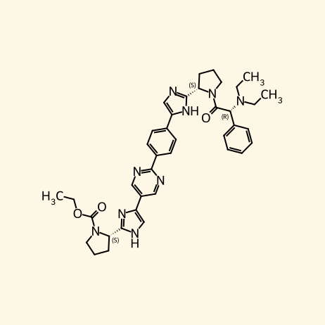 CCOC(=O)N1CCC[C@H]1c1nc(-c2cnc(-c3ccc(-c4cnc([C@@H]5CCCN5C(=O)[C@@H](c5ccccc5)N(CC)CC)[nH]4)cc3)nc2)c[nH]1